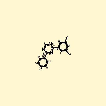 Cc1cc(C)cc(-c2ncnc(-c3ccccc3)n2)c1